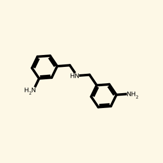 Nc1cccc(CNCc2cccc(N)c2)c1